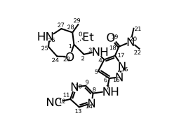 CC[C@]1(CNc2cc(Nc3cnc(C#N)cn3)nnc2C(=O)N(C)C)OCCNCC1C